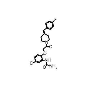 NC(=O)Nc1cc(Cl)ccc1OCC(=O)N1CCC(=Cc2ccc(F)cc2)CC1